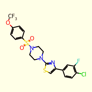 O=S(=O)(c1ccc(OC(F)(F)F)cc1)N1CCN(c2nc(-c3ccc(Cl)c(F)c3)cs2)CC1